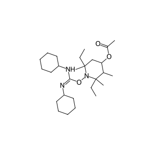 CCC1(C)CC(OC(C)=O)C(C)C(C)(CC)N1O/C(=N\C1CCCCC1)NC1CCCCC1